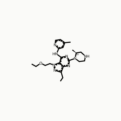 CCOCCn1nc(CC)c2nc(N3CCNC[C@@H]3C)nc(Nc3cc(C)ccn3)c21